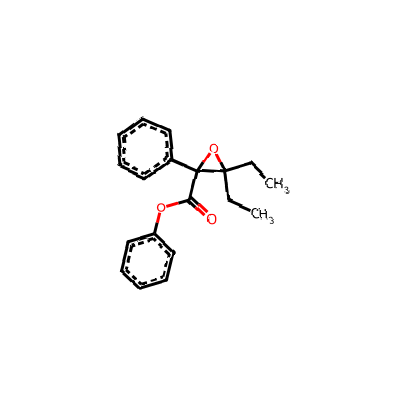 CCC1(CC)OC1(C(=O)Oc1ccccc1)c1ccccc1